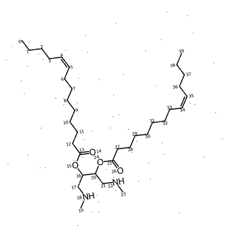 CCCC/C=C\CCCCCCCC(=O)OC(CNC)C(CNC)OC(=O)CCCCCCC/C=C\CCCC